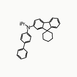 CC(C)N(c1ccc(-c2ccccc2)cc1)c1ccc2c(c1)C1(CCCCC1)c1ccccc1-2